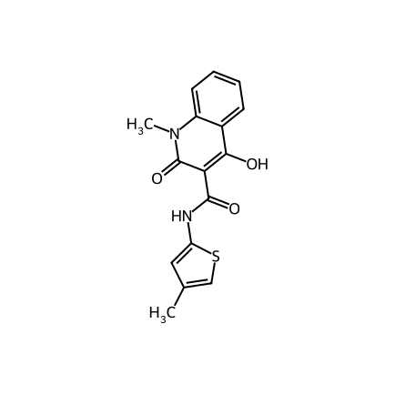 Cc1csc(NC(=O)c2c(O)c3ccccc3n(C)c2=O)c1